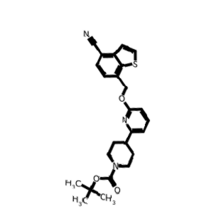 CC(C)(C)OC(=O)N1CCC(c2cccc(OCc3ccc(C#N)c4ccsc34)n2)CC1